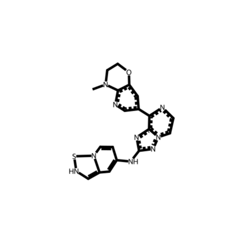 CN1CCOc2cc(-c3nccn4nc(NC5=CC6=CNSN6C=C5)nc34)cnc21